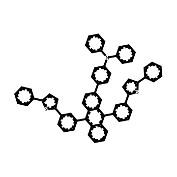 c1ccc(-c2ccc(-c3cccc(-c4c5ccccc5c(-c5cccc(-c6ccc(-c7ccccc7)s6)c5)c5cc(-c6ccc(N(c7ccccc7)c7ccccc7)cc6)ccc45)c3)s2)cc1